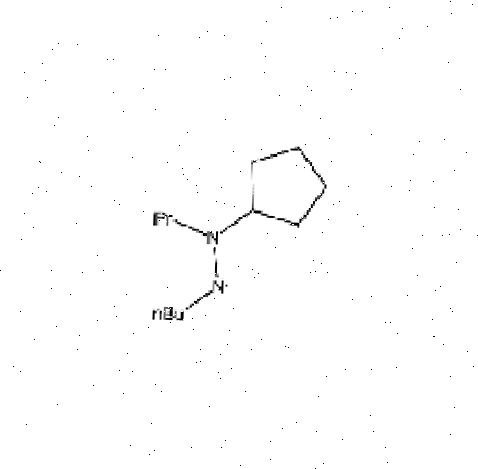 CCCC[N]N(C(C)C)C1CCCC1